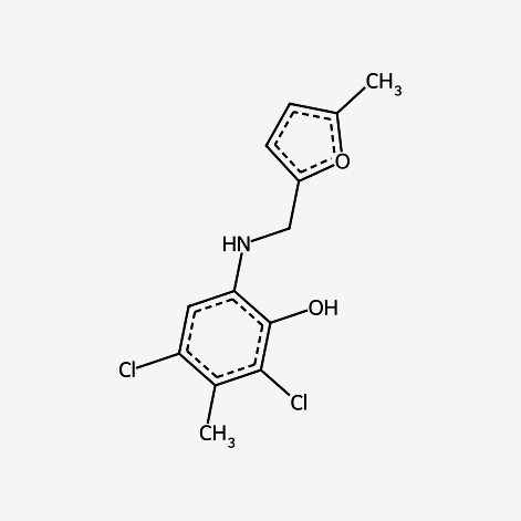 Cc1ccc(CNc2cc(Cl)c(C)c(Cl)c2O)o1